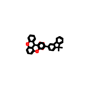 CC1(C)c2ccccc2-c2cc(-c3ccc(C45c6ccccc6Oc6cccc(c64)Oc4ccccc45)cc3)ccc21